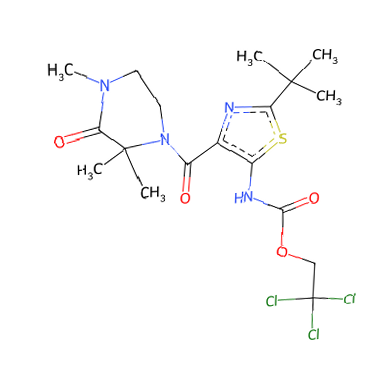 CN1CCN(C(=O)c2nc(C(C)(C)C)sc2NC(=O)OCC(Cl)(Cl)Cl)C(C)(C)C1=O